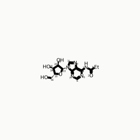 CCC(=O)Nc1ncnc2c1ncn2[C@@H]1O[C@H](CO)[C@@H](O)[C@H]1O